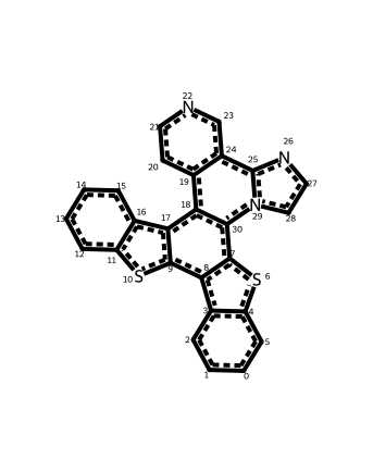 c1ccc2c(c1)sc1c2c2sc3ccccc3c2c2c3ccncc3c3nccn3c12